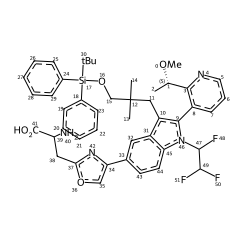 CO[C@@H](C)c1ncccc1-c1c(CC(C)(C)CO[Si](c2ccccc2)(c2ccccc2)C(C)(C)C)c2cc(-c3coc(CC(N)C(=O)O)n3)ccc2n1C(F)C(F)F